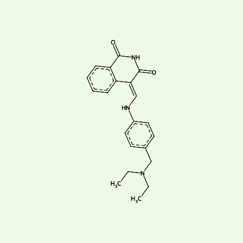 CCN(CC)Cc1ccc(N/C=C2/C(=O)NC(=O)c3ccccc32)cc1